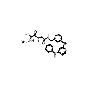 CC(C)C(NC=O)C(=O)NCC(=O)NCc1cccc(Nc2cc(Nc3ccccc3)ncn2)c1